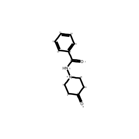 O=C1CCN(NC(=O)c2ccccc2)CC1